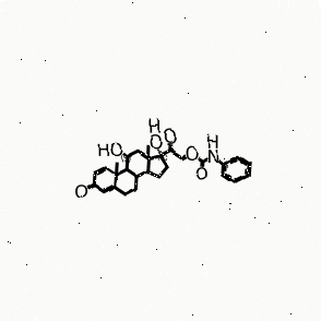 CC12C=CC(=O)C=C1CCC1C2[C@@H](O)CC2(C)C1CC[C@]2(O)C(=O)COC(=O)Nc1ccccc1